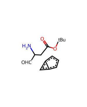 CC(C)(C)OC(=O)CC(N)C=O.c1cc2cc-2c1